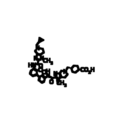 Cn1c(C(=O)Nc2cccc(-c3cccc(NC(=O)c4nc5c(n4C)CCN(C[C@H]4CC[C@H](C(=O)O)CC4)C5)c3Cl)c2Cl)nc2c1CCN(CC1CC1)C2